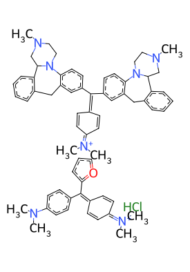 CN(C)c1ccc(C(=C2C=CC(=[N+](C)C)C=C2)c2ccco2)cc1.CN1CCN2c3ccc(C(=C4C=CC(=[N+](C)C)C=C4)c4ccc5c(c4)Cc4ccccc4C4CN(C)CCN54)cc3Cc3ccccc3C2C1.Cl